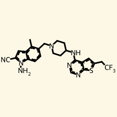 Cc1c(CN2CCC(Nc3ncnc4sc(CC(F)(F)F)cc34)CC2)ccc2c1cc(C#N)n2N